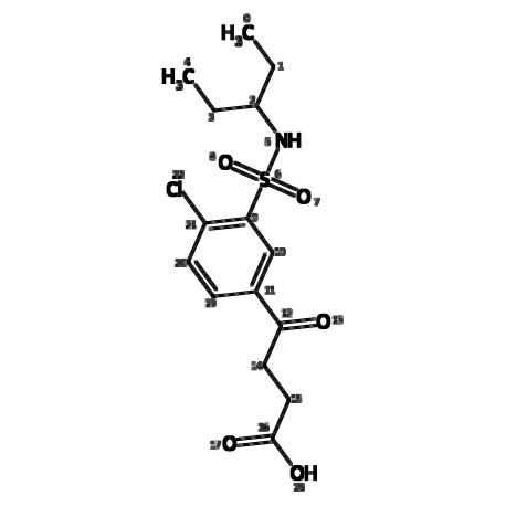 CCC(CC)NS(=O)(=O)c1cc(C(=O)CCC(=O)O)ccc1Cl